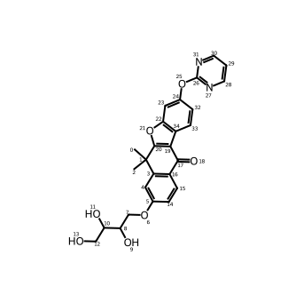 CC1(C)c2cc(OCC(O)C(O)CO)ccc2C(=O)c2c1oc1cc(Oc3ncccn3)ccc21